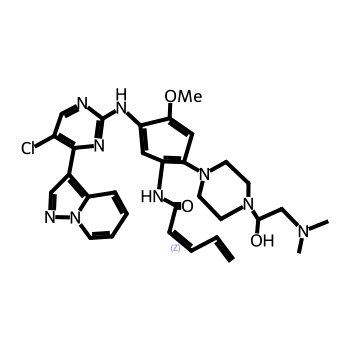 C=C/C=C\C(=O)Nc1cc(Nc2ncc(Cl)c(-c3cnn4ccccc34)n2)c(OC)cc1N1CCN(C(O)CN(C)C)CC1